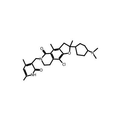 Cc1cc(C)c(CN2CCc3c(Cl)c4c(c(C)c3C2=O)CC(C)(C2CCC(N(C)C)CC2)O4)c(=O)[nH]1